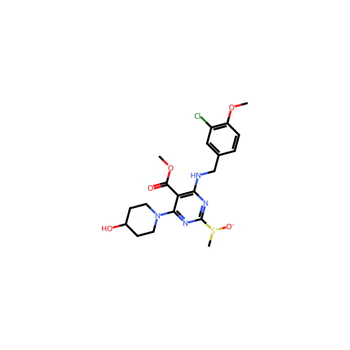 COC(=O)c1c(NCc2ccc(OC)c(Cl)c2)nc([S+](C)[O-])nc1N1CCC(O)CC1